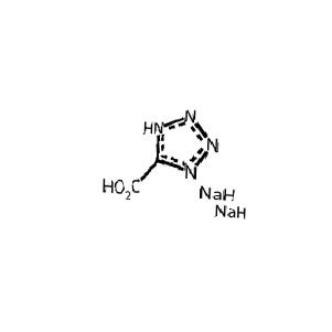 O=C(O)c1nnn[nH]1.[NaH].[NaH]